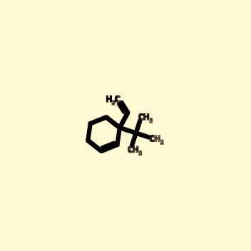 C=CC1(C(C)(C)C)C=CCCC1